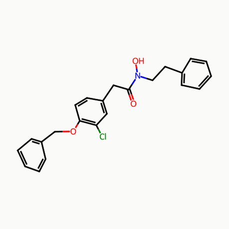 O=C(Cc1ccc(OCc2ccccc2)c(Cl)c1)N(O)CCc1ccccc1